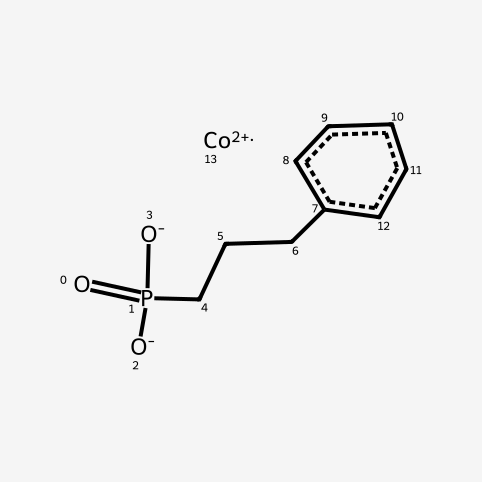 O=P([O-])([O-])CCCc1ccccc1.[Co+2]